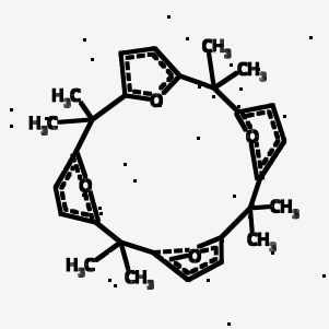 CC1(C)c2ccc(o2)C(C)(C)c2ccc(o2)C(C)(C)c2ccc(o2)C(C)(C)c2ccc1o2